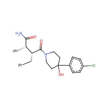 CCC[C@H](C(N)=O)[C@@H](CC(C)C)C(=O)N1CCC(O)(c2ccc(Cl)cc2)CC1